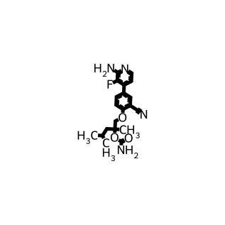 CC(C)CC(C)(COc1ccc(-c2ccnc(N)c2F)cc1C#N)OC(N)=O